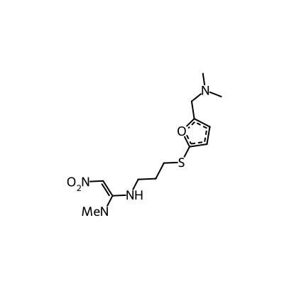 CNC(=C[N+](=O)[O-])NCCCSc1ccc(CN(C)C)o1